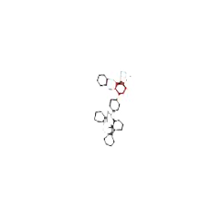 Brc1ccc(-c2ccc(N(c3ccccc3)c3cccc4c3oc3ccccc34)cc2)c2c1C1c3ccccc3C2c2ccccc21